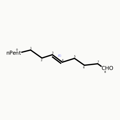 CCCCCCC/C=C/CCCC=O